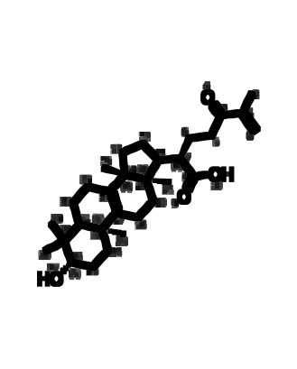 C=C(C)C(=O)CC[C@@H](C(=O)O)C1CC[C@@]2(C)C3=C(CC[C@]12C)[C@@]1(C)CC[C@H](O)C(C)(C)C1CC3